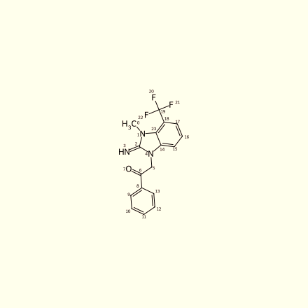 Cn1c(=N)n(CC(=O)c2ccccc2)c2cccc(C(F)(F)F)c21